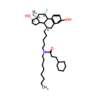 CCCCCCCCN(CCCCC[C@@H]1Cc2cc(O)ccc2C2C1C1CC[C@H](O)[C@@]1(C)C[C@@H]2F)C(=O)CCC1CCCCC1